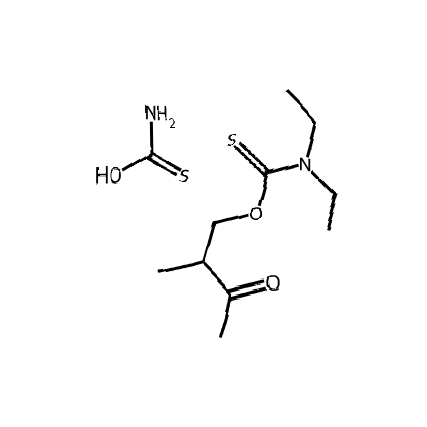 CCN(CC)C(=S)OCC(C)C(C)=O.NC(O)=S